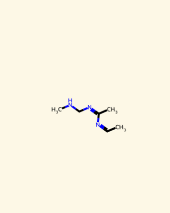 C/C=N\C(C)=N/CNC